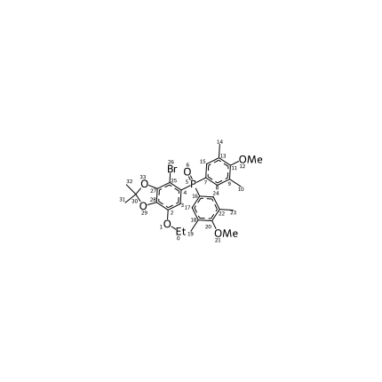 CCOc1cc(P(=O)(c2cc(C)c(OC)c(C)c2)c2cc(C)c(OC)c(C)c2)c(Br)c2c1OC(C)(C)O2